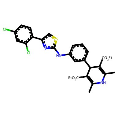 CCOC(=O)C1=C(C)NC(C)=C(C(=O)OCC)C1c1cccc(Nc2nc(-c3ccc(Cl)cc3Cl)cs2)c1